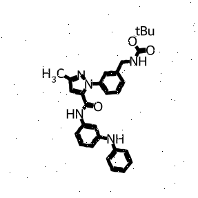 Cc1cc(C(=O)Nc2cccc(Nc3ccccc3)c2)n(-c2cccc(CNC(=O)OC(C)(C)C)c2)n1